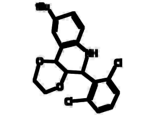 CC(C)(C)c1ccc2c(c1)C1OCCOC1C(c1c(Cl)cccc1Cl)N2